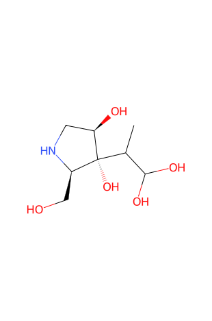 CC(C(O)O)[C@]1(O)[C@H](O)CN[C@@H]1CO